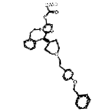 COC(=O)Oc1cnc2n1CCc1ccccc1C2=C1CCN(CCc2ccc(OCc3ccccc3)cc2)CC1